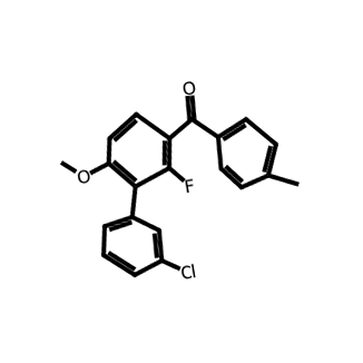 COc1ccc(C(=O)c2ccc(C)cc2)c(F)c1-c1cccc(Cl)c1